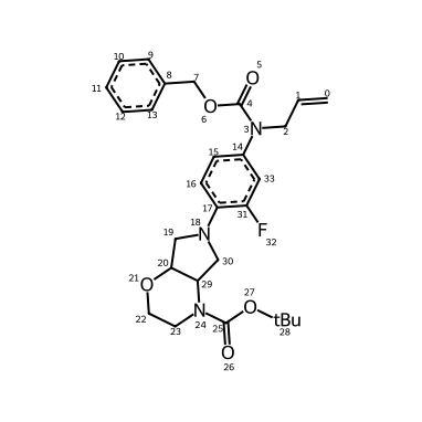 C=CCN(C(=O)OCc1ccccc1)c1ccc(N2CC3OCCN(C(=O)OC(C)(C)C)C3C2)c(F)c1